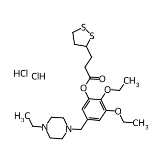 CCOc1cc(CN2CCN(CC)CC2)cc(OC(=O)CCC2CCSS2)c1OCC.Cl.Cl